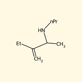 C=C(CC)C(C)NCCC